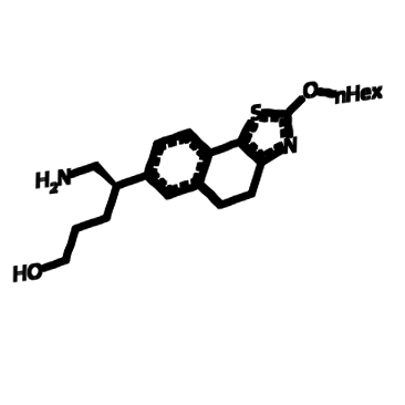 CCCCCCOc1nc2c(s1)-c1ccc([C@H](CN)CCCO)cc1CC2